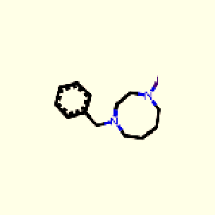 IN1CCCCN(Cc2ccccc2)CC1